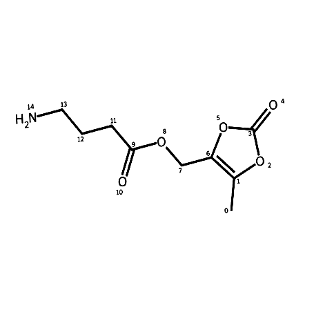 Cc1oc(=O)oc1COC(=O)CCCN